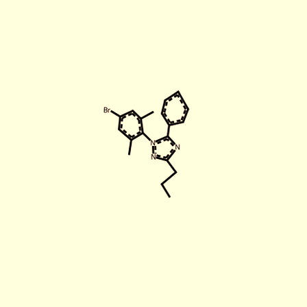 CCCc1nc(-c2ccccc2)n(-c2c(C)cc(Br)cc2C)n1